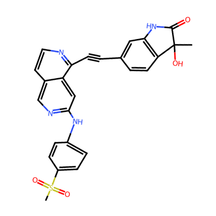 CC1(O)C(=O)Nc2cc(C#Cc3nccc4cnc(Nc5ccc(S(C)(=O)=O)cc5)cc34)ccc21